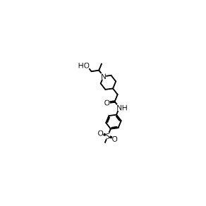 CC(CO)N1CCC(CC(=O)Nc2ccc(S(C)(=O)=O)cc2)CC1